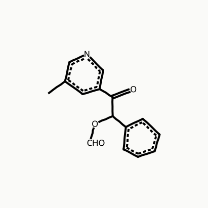 Cc1cncc(C(=O)C(OC=O)c2ccccc2)c1